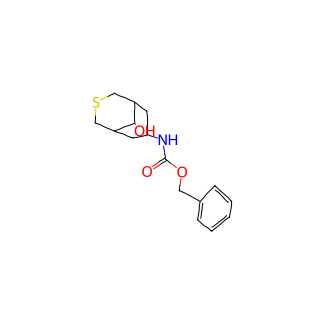 O=C(NC1CC2CSCC(C1)C2O)OCc1ccccc1